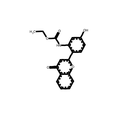 CCOC(=O)Nc1cc(O)ccc1-c1cc(=O)c2ccccc2o1